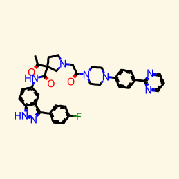 CC(=O)C1(C(=O)Nc2ccc3[nH]nc(-c4ccc(F)cc4)c3c2)CCN(CC(=O)N2CCN(c3ccc(-c4ncccn4)cc3)CC2)C1